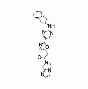 O=C(Cc1nnc(-c2cnc(NC3Cc4ccccc4C3)nc2)o1)N1CCn2ccnc2C1